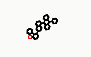 c1ccc(-c2c3ccccc3c(-c3cccc4cc(-c5cccc6oc7ccccc7c56)ccc34)c3ccccc23)cc1